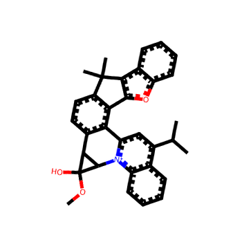 COC1(O)C2c3ccc4c(c3-c3cc(C(C)C)c5ccccc5[n+]3C21)-c1oc2ccccc2c1C4(C)C